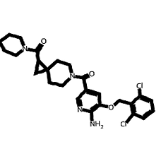 Nc1ncc(C(=O)N2CCC3(CC2)CC3C(=O)N2CCCCC2)cc1OCc1c(Cl)cccc1Cl